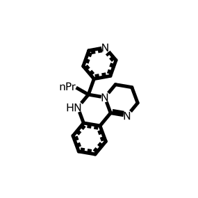 CCCC1(c2ccncc2)Nc2ccccc2C2=NCCCN21